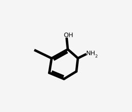 CC1=C(O)C(N)CC=C1